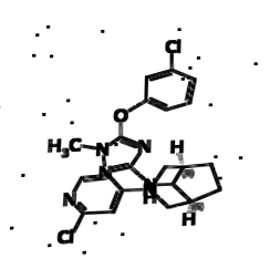 Cn1nc(NC2[C@@H]3CC[C@H]2CN(c2ccnc(Cl)c2)C3)nc1Oc1cccc(Cl)c1